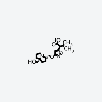 CC(C)C(C(=O)O)c1cc(OC[C@@H]2CC[C@]3(CO)CCCN23)no1